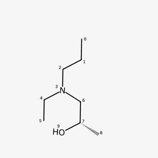 CCCN(CC)C[C@H](C)O